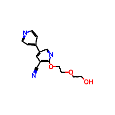 N#Cc1cc(-c2ccncc2)cnc1OCCOCCO